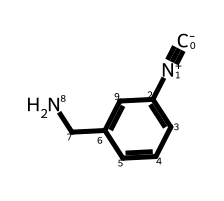 [C-]#[N+]c1cccc(CN)c1